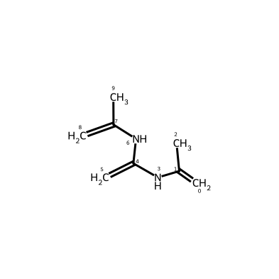 C=C(C)NC(=C)NC(=C)C